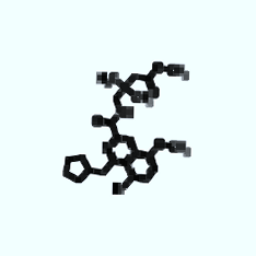 COC(=O)CC(C)(C)CNC(=O)c1cc2c(OC)ccc(Br)c2c(CC2CCCC2)n1